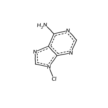 Nc1ncnc2c1ncn2Cl